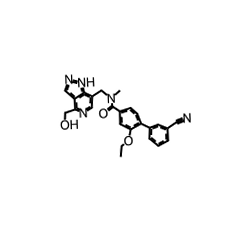 CCOc1cc(C(=O)N(C)Cc2cnc(CO)c3cn[nH]c23)ccc1-c1cccc(C#N)c1